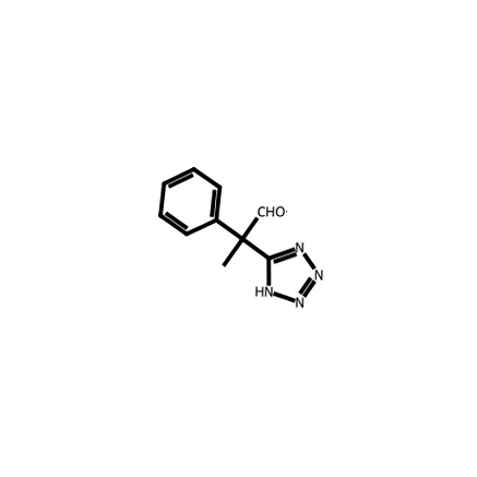 CC([C]=O)(c1ccccc1)c1nnn[nH]1